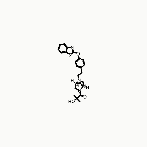 CC(C)(O)C(=O)N1C[C@@H]2C[C@H]1CN2CCc1ccc(Oc2nc3ccccc3s2)cc1